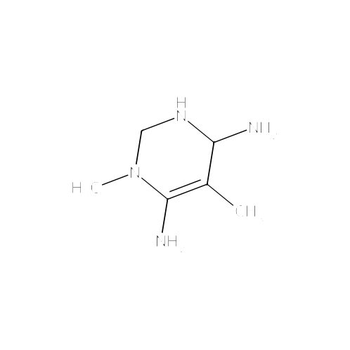 CC1=C(N)N(C)CNC1N